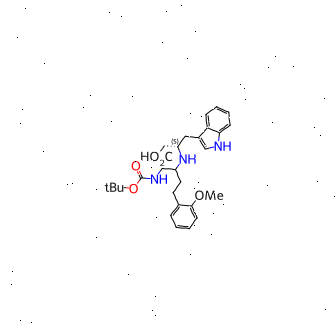 COc1ccccc1CCC(CNC(=O)OC(C)(C)C)N[C@H](CC(=O)O)Cc1c[nH]c2ccccc12